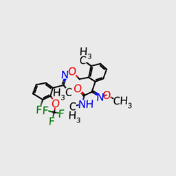 CNC(=O)/C(=N/OC)c1cccc(C)c1CO/N=C(\C)c1cccc(F)c1OC(F)(F)F